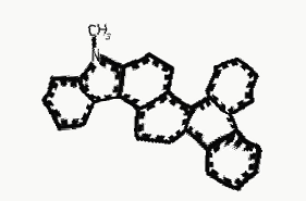 Cn1c2ccccc2c2c3ccc4c5ccccc5c5ccccc5c4c3ccc21